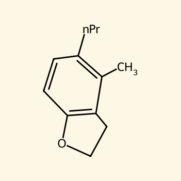 CCCc1ccc2c(c1C)CCO2